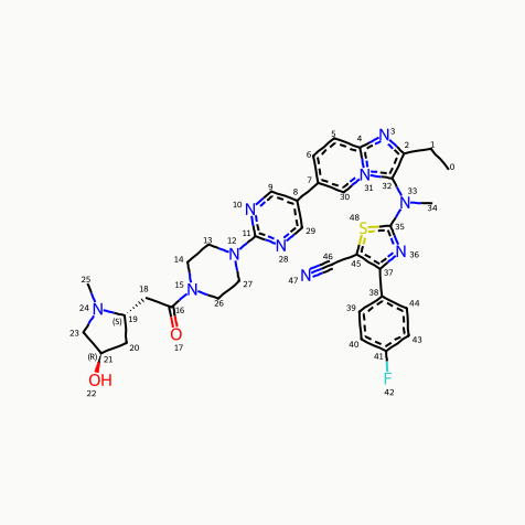 CCc1nc2ccc(-c3cnc(N4CCN(C(=O)C[C@@H]5C[C@@H](O)CN5C)CC4)nc3)cn2c1N(C)c1nc(-c2ccc(F)cc2)c(C#N)s1